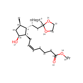 CCCCCCCC1(CC[C@@H]2[C@@H](C/C=C\CCCC(=O)OC(C)C)[C@@H](O)C[C@H]2C)OCCO1